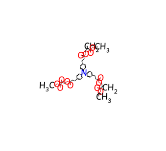 C=C(COC(=O)CCc1ccc(N(c2ccc(CCC(=O)OCC(=C)C(=O)OCC)cc2)c2ccc(CCC(=O)OCC(=O)C(=O)OCC)cc2)cc1)C(=O)OCC